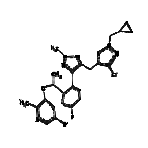 Cc1ncc(Br)cc1O[C@H](C)c1cc(F)ccc1-c1nn(C)nc1Cc1cn(CC2CC2)nc1Cl